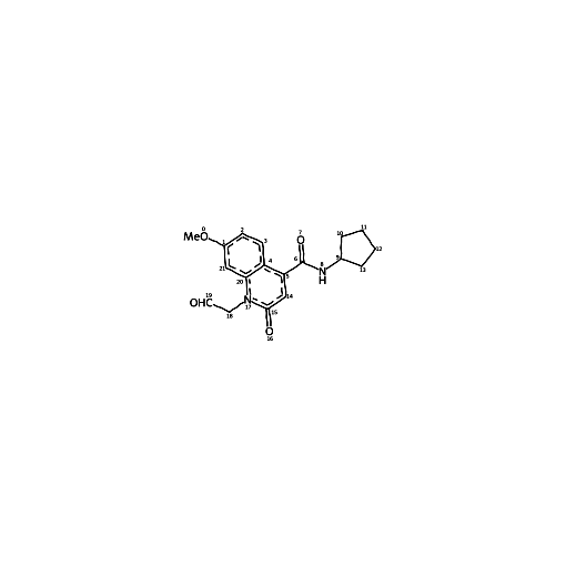 COc1ccc2c(C(=O)NC3CCCC3)cc(=O)n(CC=O)c2c1